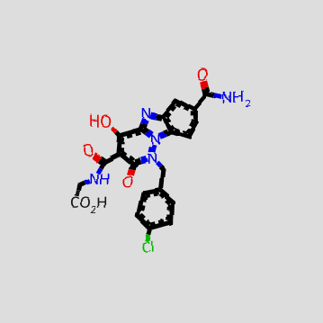 NC(=O)c1ccc2c(c1)nc1c(O)c(C(=O)NCC(=O)O)c(=O)n(Cc3ccc(Cl)cc3)n12